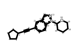 C(#CC1CCCC1)c1ccc2c(cnn2C2CCCCO2)c1